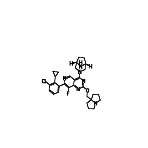 Fc1c(-c2cccc(Cl)c2C2CC2)ncc2c(N3C[C@H]4CC[C@@H](C3)N4)nc(OCC34CCCN3CCC4)nc12